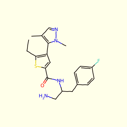 CCc1sc(C(=O)NC(CN)Cc2ccc(F)cc2)cc1-c1c(C)cnn1C